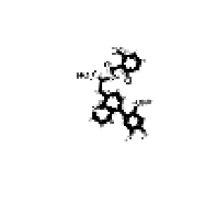 COc1cc(F)c(F)cc1-c1ccc(CC(NC(=O)c2c(Cl)cccc2Cl)C(=O)O)c2ncccc12